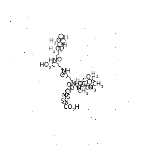 CC1=C(C)C(=O)C(C(C)(C)CC(=O)N(C)CCN(CCCCCC(=O)NCCCCC(NC(=O)CCC[C@H]2CCC3[C@@H]4CC[C@@H]5CCCC[C@]5(C)C4CC[C@@]32C)C(=O)O)C(=O)Oc2ccc3nc(C4=NC(C(=O)O)CS4)sc3c2)=C(C)C1=O